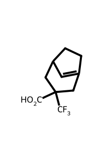 O=C(O)C1(C(F)(F)F)CC2=CC(CC2)C1